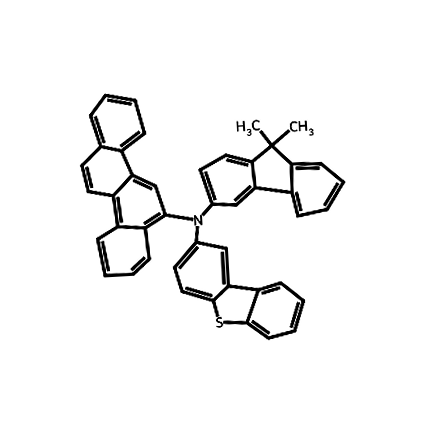 CC1(C)c2ccccc2-c2cc(N(c3ccc4sc5ccccc5c4c3)c3cc4c5ccccc5ccc4c4ccccc34)ccc21